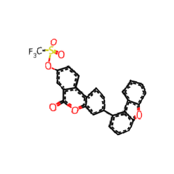 O=c1oc2cc(-c3cccc4oc5ccccc5c34)ccc2c2ccc(OS(=O)(=O)C(F)(F)F)cc12